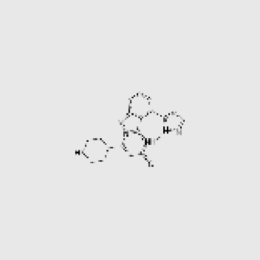 Cn1nccc1-c1cccc2nn3c(C4CCNCC4)cc(=O)[nH]c3c12